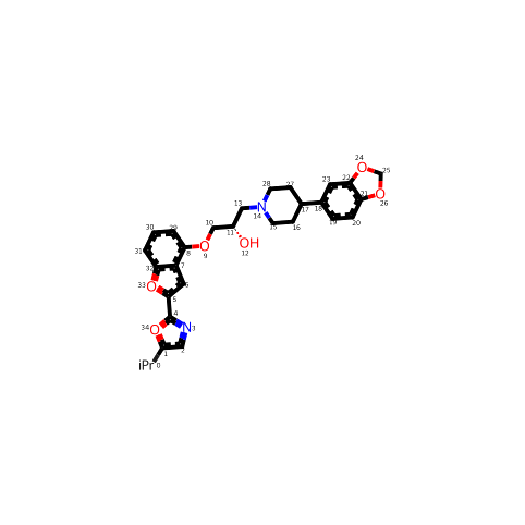 CC(C)c1cnc(-c2cc3c(OC[C@@H](O)CN4CCC(c5ccc6c(c5)OCO6)CC4)cccc3o2)o1